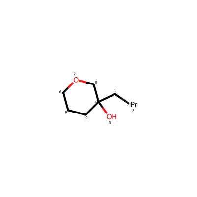 CC(C)CC1(O)CCCOC1